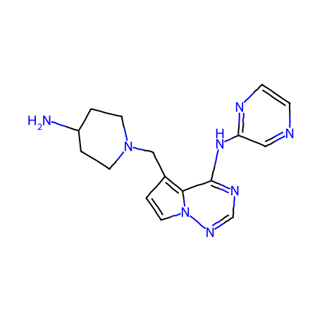 NC1CCN(Cc2ccn3ncnc(Nc4cnccn4)c23)CC1